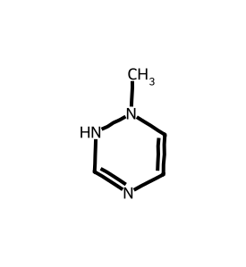 CN1C=CN=CN1